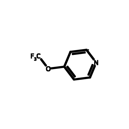 FC(F)(F)Oc1c[c]ncc1